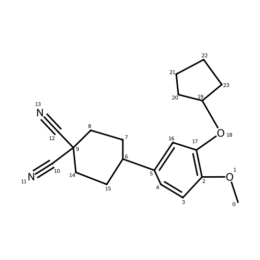 COc1ccc(C2CCC(C#N)(C#N)CC2)cc1OC1CCCC1